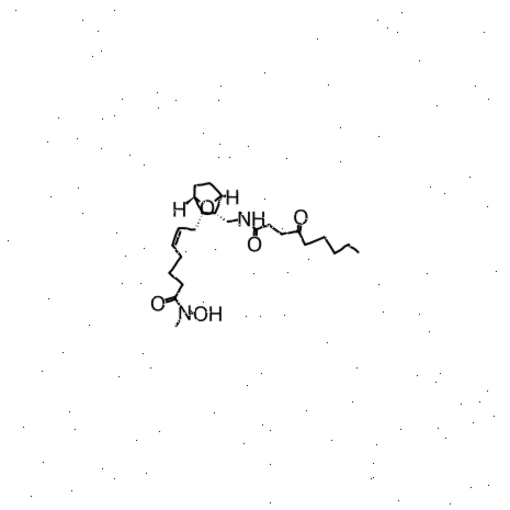 CCCCCC(=O)CCC(=O)NC[C@@H]1[C@H](C/C=C\CCCC(=O)N(C)O)[C@@H]2CC[C@H]1O2